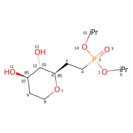 CC(C)OP(=O)(CC[C@H]1OCC[C@@H](O)[C@@H]1O)OC(C)C